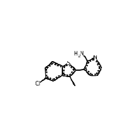 Cc1c(-c2cccnc2N)sc2ccc(Cl)cc12